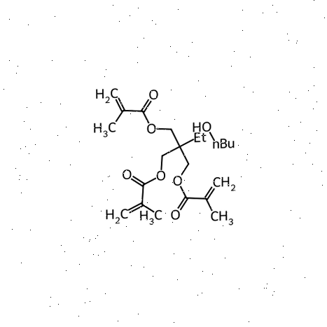 C=C(C)C(=O)OCC(CC)(COC(=O)C(=C)C)COC(=O)C(=C)C.CCCCO